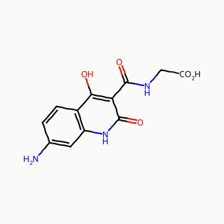 Nc1ccc2c(O)c(C(=O)NCC(=O)O)c(=O)[nH]c2c1